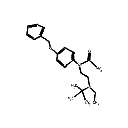 CCN(CCN(C(N)=O)c1ccc(OCc2ccccc2)cc1)C(C)(C)C